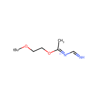 C/C(=N\C=N)OCCOC(C)(C)C